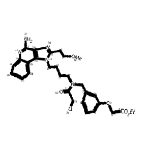 CCOC(=O)COc1cccc(CN(CCCCn2c(CCOC)nc3c(N)nc4ccccc4c32)C(=O)CCl)c1